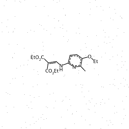 CCOC(=O)C(=CNc1ccc(OCC)c(C)n1)C(=O)OCC